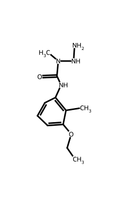 CCOc1cccc(NC(=O)N(C)NN)c1C